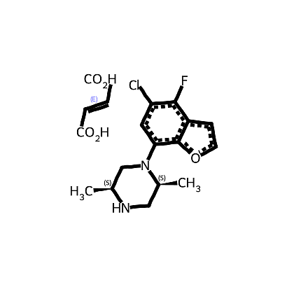 C[C@H]1CN(c2cc(Cl)c(F)c3ccoc23)[C@@H](C)CN1.O=C(O)/C=C/C(=O)O